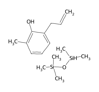 C=CCc1cccc(C)c1O.C[SiH](C)O[Si](C)(C)C